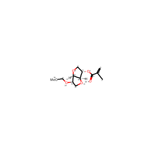 C=C(C)C(=O)O[C@H]1CO[C@H]2[C@@H]1OC[C@H]2OCOC